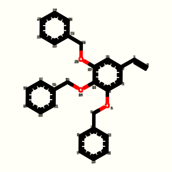 C=Cc1cc(OCc2ccccc2)c(OCc2ccccc2)c(OCc2ccccc2)c1